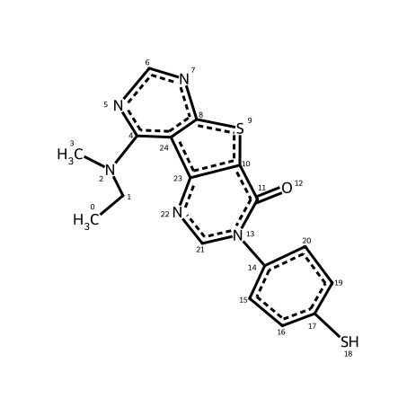 CCN(C)c1ncnc2sc3c(=O)n(-c4ccc(S)cc4)cnc3c12